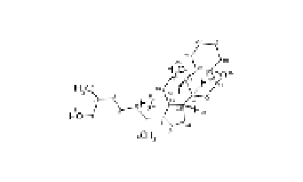 CC(CO)CCC[C@@H](C)[C@H]1CC[C@H]2[C@@H]3CC4OC45CCCC[C@]5(C)[C@H]3CC[C@]12C